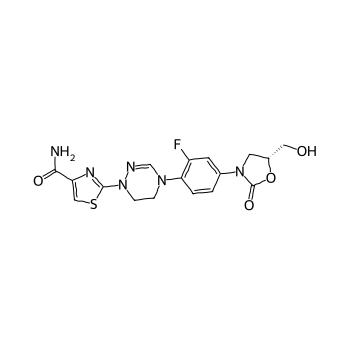 NC(=O)c1csc(N2CCN(c3ccc(N4C[C@H](CO)OC4=O)cc3F)C=N2)n1